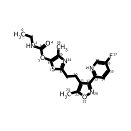 CCNC(=O)Oc1sc(CCc2c(-c3ccc(F)cn3)noc2C)nc1C